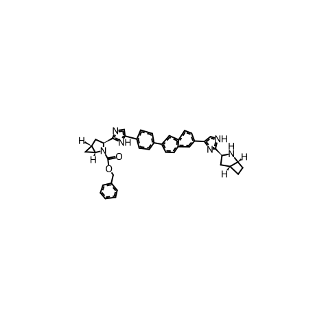 O=C(OCc1ccccc1)N1[C@@H]2C[C@@H]2C[C@H]1c1ncc(-c2ccc(-c3ccc4cc(-c5c[nH]c([C@@H]6C[C@H]7CC[C@H]7N6)n5)ccc4c3)cc2)[nH]1